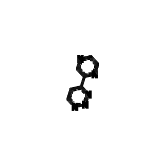 c1cnc(-c2ccnnn2)cn1